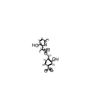 CC(c1nc(C)ccc1O)=[N+](Cl)OCc1ccc([N+](=O)[O-])cc1O